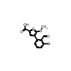 CSc1sc(C(=O)O)cc1-c1cccc(Br)c1C=O